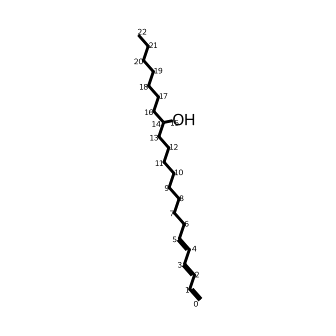 C=CC=CC=CCCCCCCCCC(O)CCCCCCC